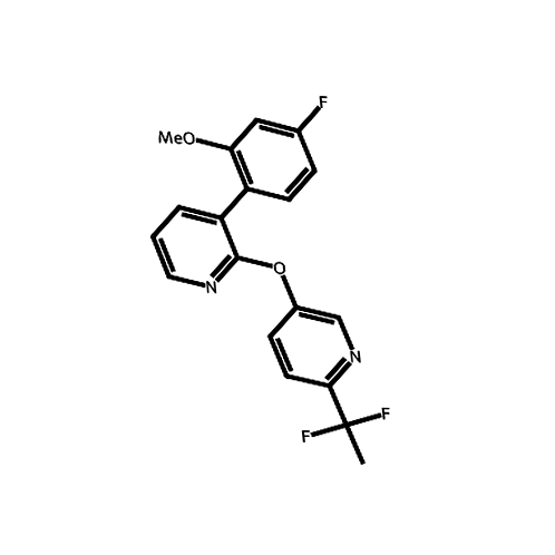 COc1cc(F)ccc1-c1cccnc1Oc1ccc(C(C)(F)F)nc1